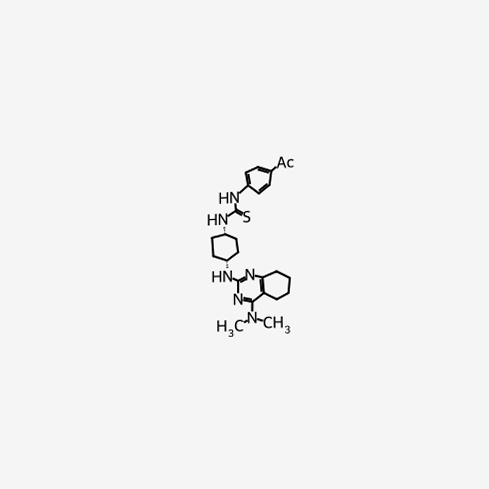 CC(=O)c1ccc(NC(=S)N[C@H]2CC[C@@H](Nc3nc4c(c(N(C)C)n3)CCCC4)CC2)cc1